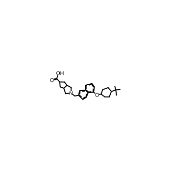 CC(C)(C)C1CCC(Oc2cccc3cc(CN4CC5CC(C(=O)O)CC5C4)ccc23)CC1